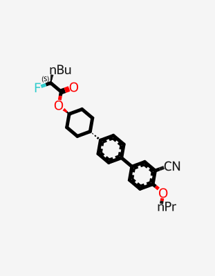 CCCC[C@H](F)C(=O)O[C@H]1CC[C@H](c2ccc(-c3ccc(OCCC)c(C#N)c3)cc2)CC1